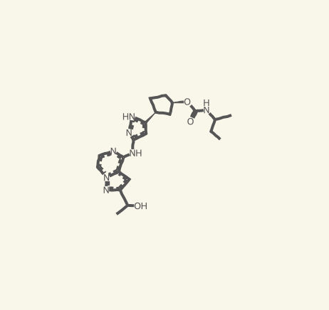 CCC(C)NC(=O)O[C@@H]1CC[C@H](c2cc(Nc3nccn4nc(C(C)O)cc34)n[nH]2)C1